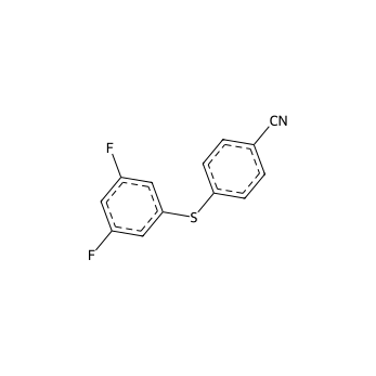 N#Cc1ccc(Sc2cc(F)cc(F)c2)cc1